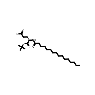 CCCCCCCCCCCCCCCC(=O)N[C@H](CCC(=O)O)C(=O)OC(C)(C)C